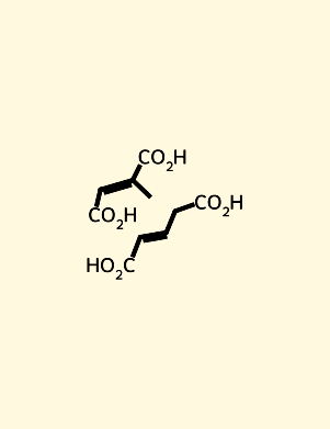 C/C(=C\C(=O)O)C(=O)O.O=C(O)C=CCC(=O)O